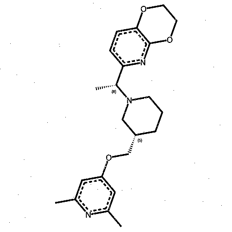 Cc1cc(OC[C@H]2CCCN([C@H](C)c3ccc4c(n3)OCCO4)C2)cc(C)n1